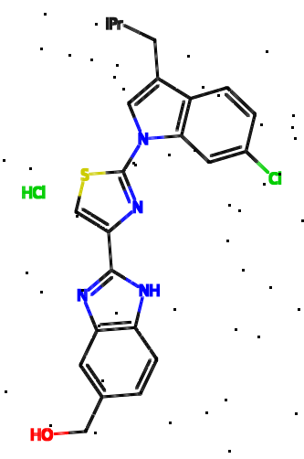 CC(C)Cc1cn(-c2nc(-c3nc4cc(CO)ccc4[nH]3)cs2)c2cc(Cl)ccc12.Cl